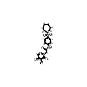 O=C(Cn1ncc(Cl)c(Cl)c1=O)Nc1ccc(S(=O)(=O)N2CCCCCC2)cc1